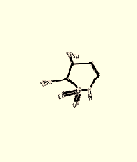 CC(C)(C)C1CCNS(=O)(=O)C1C(C)(C)C